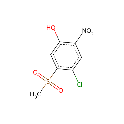 CS(=O)(=O)c1cc(O)c([N+](=O)[O-])cc1Cl